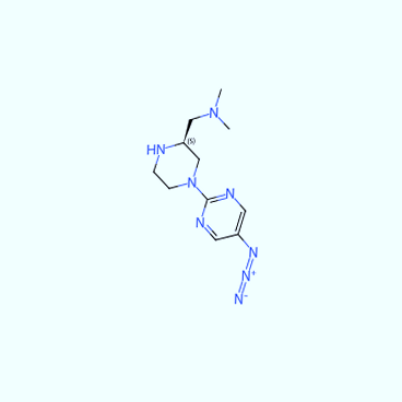 CN(C)C[C@H]1CN(c2ncc(N=[N+]=[N-])cn2)CCN1